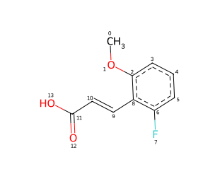 COc1cccc(F)c1/C=C/C(=O)O